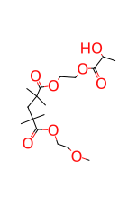 COCCOC(=O)C(C)(C)CC(C)(C)C(=O)OCCOC(=O)C(C)O